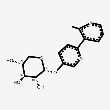 Cc1ncccc1-c1ccc(O[C@H]2SC[C@@H](O)[C@H](O)[C@H]2O)cn1